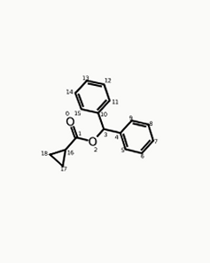 O=C(OC(c1ccccc1)c1ccccc1)C1CC1